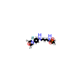 C[C@@H]1CN(c2ccc(NCCCCCNS(=O)(=O)C(C)(C)C)cc2F)C[C@H](C)O1